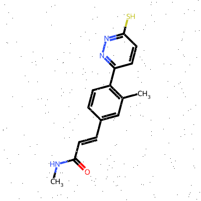 CNC(=O)/C=C/c1ccc(-c2ccc(S)nn2)c(C)c1